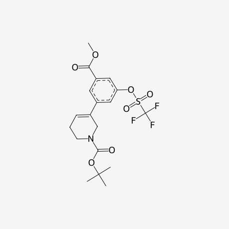 COC(=O)c1cc(OS(=O)(=O)C(F)(F)F)cc(C2=CCCN(C(=O)OC(C)(C)C)C2)c1